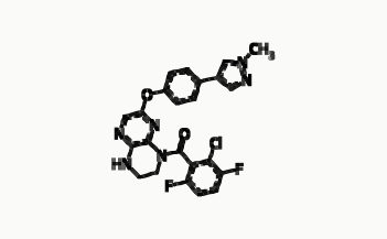 Cn1cc(-c2ccc(Oc3cnc4c(n3)N(C(=O)c3c(F)ccc(F)c3Cl)CCN4)cc2)cn1